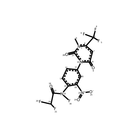 Cn1c(C(F)(F)F)cc(=O)n(-c2ccc(N(F)C(=O)C(F)F)c([N+](=O)[O-])c2)c1=O